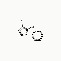 Cn1nccc1Cl.c1ccccc1